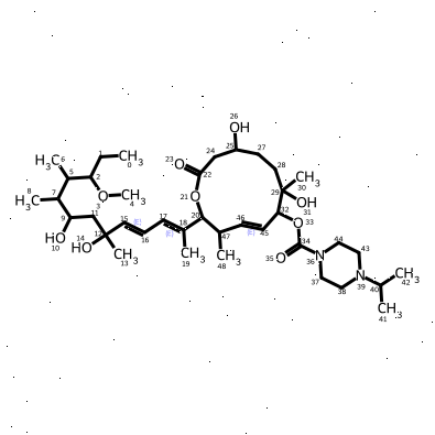 CCC(OC)C(C)C(C)C(O)CC(C)(O)/C=C/C=C(\C)C1OC(=O)CC(O)CCC(C)(O)C(OC(=O)N2CCN(C(C)C)CC2)/C=C/C1C